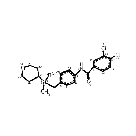 CCC[N+](C)(Cc1ccc(NC(=O)c2ccc(Cl)c(Cl)c2)cc1)C1CCOCC1